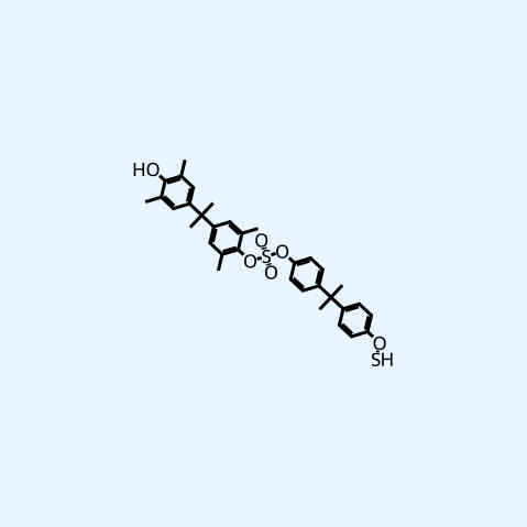 Cc1cc(C(C)(C)c2cc(C)c(OS(=O)(=O)Oc3ccc(C(C)(C)c4ccc(OS)cc4)cc3)c(C)c2)cc(C)c1O